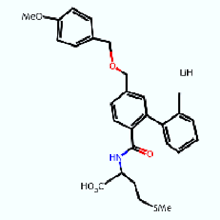 COc1ccc(COCc2ccc(C(=O)NC(CCSC)C(=O)O)c(-c3ccccc3C)c2)cc1.[LiH]